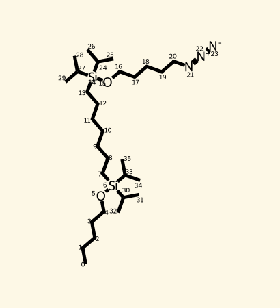 CCCCCO[Si](CCCCCCC[Si](OCCCCCN=[N+]=[N-])(C(C)C)C(C)C)(C(C)C)C(C)C